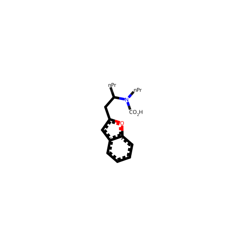 CCCC(Cc1cc2ccccc2o1)N(CCC)C(=O)O